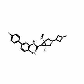 C=N[C@]12CN(C3CN(C)C3)C[C@H]1C2C(=O)Nc1nc(-c2ccc(F)cc2)ccc1N